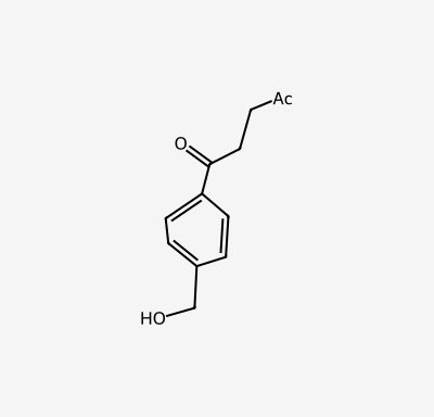 CC(=O)CCC(=O)c1ccc(CO)cc1